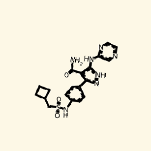 NC(=O)c1c(-c2ccc(NS(=O)(=O)CC3CCC3)cc2)n[nH]c1Nc1cnccn1